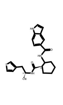 N#C[C@H](Cc1ccsc1)NC(=O)[C@@H]1CCCCC1NC(=O)c1ccc2[nH]ccc2c1